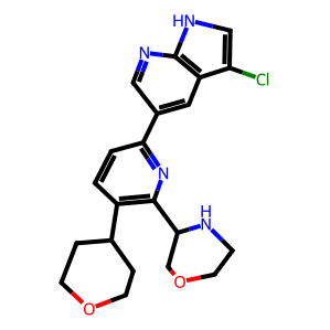 Clc1c[nH]c2ncc(-c3ccc(C4CCOCC4)c(C4COCCN4)n3)cc12